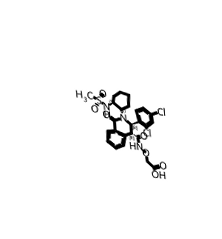 CS(=O)(=O)N[C@H]1CCCC[C@@H]1N1C(=O)c2ccccc2[C@@H](C(=O)NOCC(=O)O)[C@@H]1c1ccc(Cl)cc1Cl